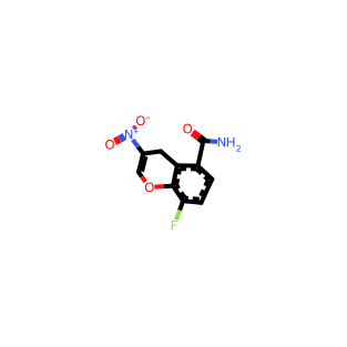 NC(=O)c1ccc(F)c2c1CC([N+](=O)[O-])=CO2